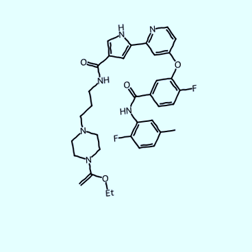 C=C(OCC)N1CCN(CCCNC(=O)c2c[nH]c(-c3cc(Oc4cc(C(=O)Nc5cc(C)ccc5F)ccc4F)ccn3)c2)CC1